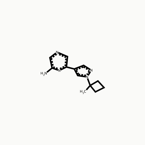 CC1(n2cc(-c3cncc(N)n3)cn2)CCC1